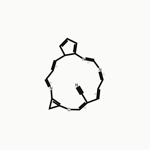 N#CC1=C\OC2=C(C2)/N=C/C=C/C2C=CC=C2/N=C/N=C\C=C\1